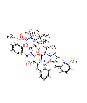 CCC(C)C(C(=O)NC(Cc1ccccc1)C(O)CN(Cc1cccc(OC)c1)NC(=O)C(N(C)C(=O)O)C(C)(C)C)N1CCN(Cc2cccc(C)n2)C1=O